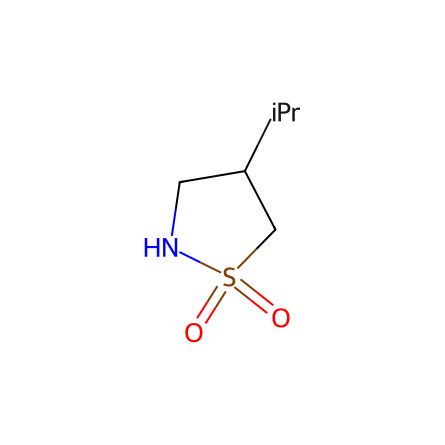 CC(C)C1CNS(=O)(=O)C1